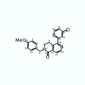 COc1ccc(CN2CCc3c(ccnc3-c3cc(Cl)ccn3)C2=O)cc1